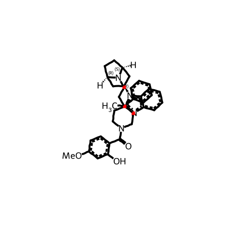 COc1ccc(C(=O)N2CCC(CCN3[C@@H]4CC[C@H]3C[C@@H](n3c(C)nc5ccccc53)C4)(c3ccccc3)CC2)c(O)c1